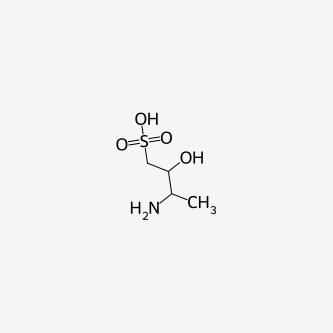 CC(N)C(O)CS(=O)(=O)O